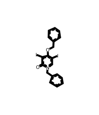 O=c1c(I)c(OCc2ccccc2)c(I)cn1Cc1ccccc1